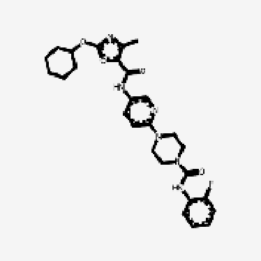 Cc1nc(OC2CCCCC2)oc1C(=O)Nc1ccc(N2CCN(C(=O)Nc3ccccc3F)CC2)nc1